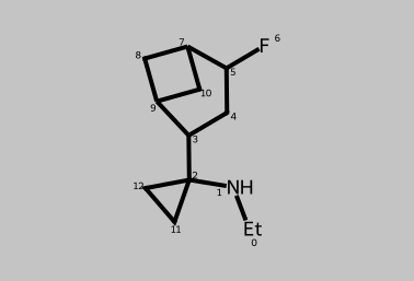 CCNC1(C2CC(F)C3CC2C3)CC1